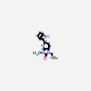 Cn1c(=O)n(CC(C)(C)C)c2ccc(C3=CC4CCC3CN4)nc21